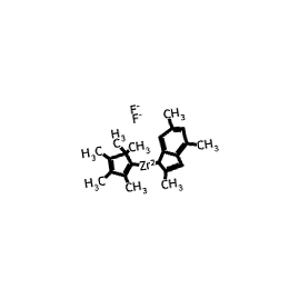 CC1=Cc2c(C)cc(C)cc2[CH]1[Zr+2][C]1=C(C)C(C)=C(C)C1(C)C.[F-].[F-]